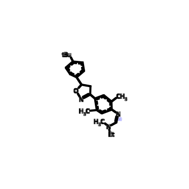 CCN(C)/C=N\c1cc(C)c(C2=NOC(c3ccc(C(C)(C)C)cc3)C2)cc1C